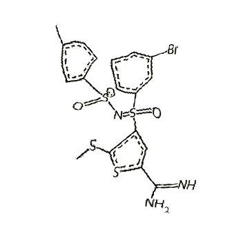 CSc1sc(C(=N)N)cc1S(=O)(=NS(=O)(=O)c1ccc(C)cc1)c1cccc(Br)c1